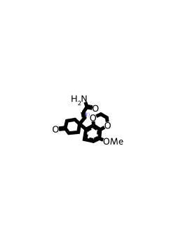 COc1ccc(C2(/C=C/C(N)=O)CCC(=O)CC2)c2c1OCCO2